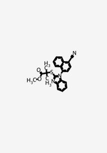 COC(=O)C(C)(C)Sc1nc2ccccc2n1-c1ccc(C#N)c2ccccc12